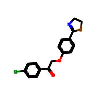 O=C(COc1ccc(C2=NCCS2)cc1)c1ccc(Cl)cc1